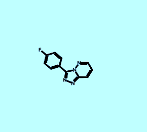 Fc1ccc(-c2nnc3cccnn23)cc1